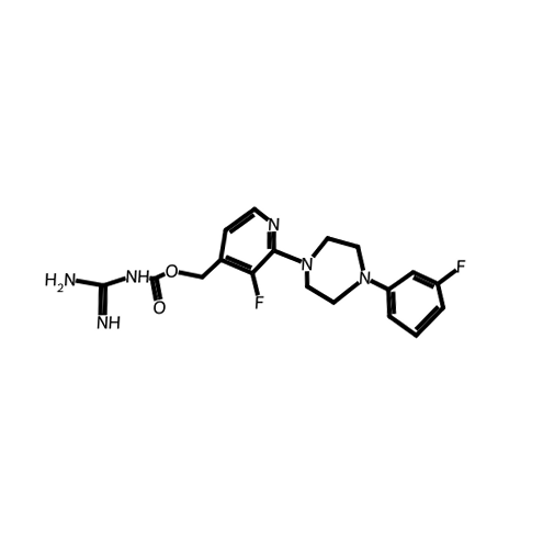 N=C(N)NC(=O)OCc1ccnc(N2CCN(c3cccc(F)c3)CC2)c1F